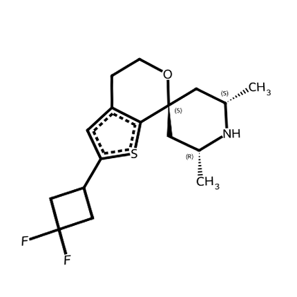 C[C@@H]1C[C@]2(C[C@H](C)N1)OCCc1cc(C3CC(F)(F)C3)sc12